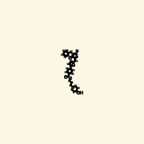 O=C(OCCCN1CCC(O)CC1)c1ccc(-c2ccc(/C=C3/SC(=S)N(Cc4ccccc4)C3=O)o2)cc1